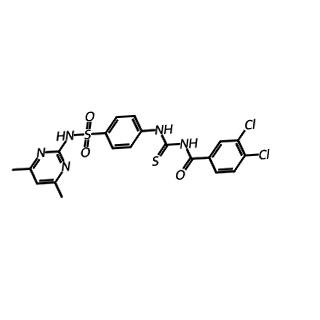 Cc1cc(C)nc(NS(=O)(=O)c2ccc(NC(=S)NC(=O)c3ccc(Cl)c(Cl)c3)cc2)n1